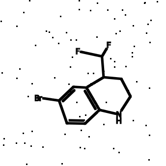 FC(F)C1CCNc2ccc(Br)cc21